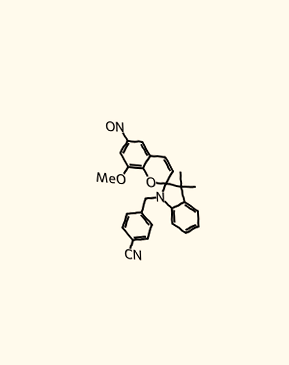 COc1cc(N=O)cc2c1OC1(C=C2)N(Cc2ccc(C#N)cc2)c2ccccc2C1(C)C